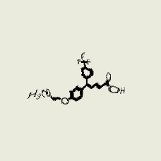 COCCOc1ccc(/C(=C/C=C/C(=O)O)c2ccc(C(F)(F)F)cc2)cc1